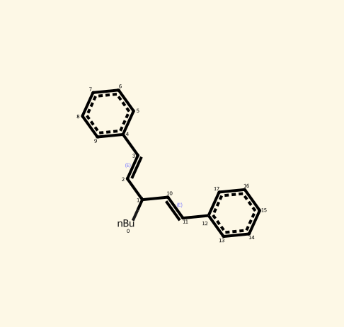 CCCC[C](/C=C/c1ccccc1)/C=C/c1ccccc1